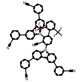 N#Cc1cccc(-c2ccc3c(c2)c2cc(-c4cccc(C#N)c4)ccc2n3-c2ccc(-c3c(C(F)(F)F)cccc3C(F)(F)F)c(-n3c4ccc(-c5cccc(C#N)c5)cc4c4cc(-c5cccc(C#N)c5)ccc43)c2C#N)c1